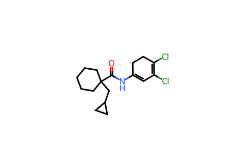 O=C(NC1=CC(Cl)=C(Cl)C[CH]1)C1(CC2CC2)CCCCC1